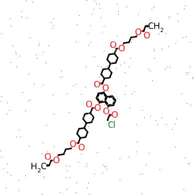 C=CC(=O)OCCCCOC(=O)C1CCC(C2CCC(C(=O)Oc3ccc(OC(=O)C4CCC(C5CCC(C(=O)OCCCCOC(=O)C=C)CC5)CC4)c4c(OC(=O)CCl)cccc34)CC2)CC1